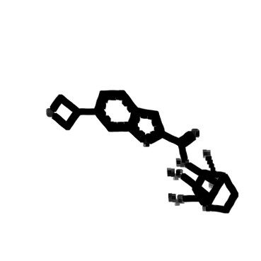 CC1(C)[C@@H](NC(=O)c2cc3ccc(C4COC4)cc3s2)C2CCN1CC2